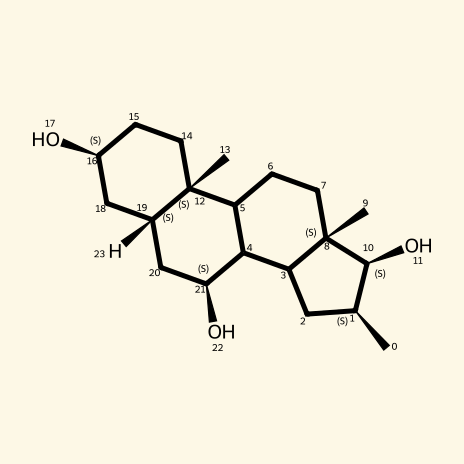 C[C@H]1CC2C3C(CC[C@]2(C)[C@H]1O)[C@@]1(C)CC[C@H](O)C[C@H]1C[C@@H]3O